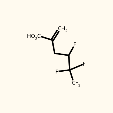 C=C(CC(F)C(F)(F)C(F)(F)F)C(=O)O